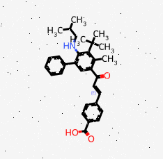 Cc1c(C(=O)/C=C/c2ccc(C(=O)O)cc2)cc(-c2ccccc2)c(NCC(C)C)c1C(C)(C)C